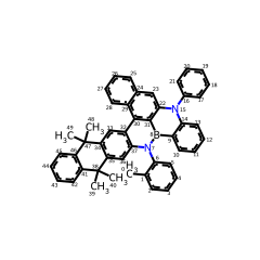 Cc1ccccc1N1B2c3ccccc3N(c3ccccc3)c3cc4ccccc4c(c32)-c2cc3c(cc21)C(C)(C)c1ccccc1C3(C)C